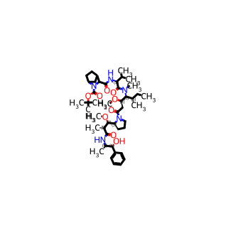 CC[C@H](C)[C@@H]([C@@H](CC(=O)N1CCC[C@H]1[C@H](OC)[C@@H](C)C(=O)N[C@H](C)[C@@H](O)c1ccccc1)OC)N(C)C(=O)[C@@H](NC(=O)C1C2CCC(C2)N1C(=O)OC(C)(C)C)C(C)C